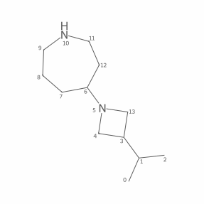 CC(C)C1CN(C2CCCNCC2)C1